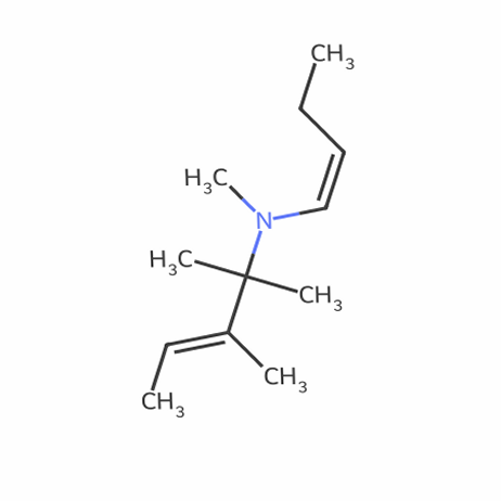 C/C=C(\C)C(C)(C)N(C)/C=C\CC